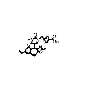 CCc1ccc2c(c1)C=Cc1oc(C)nc1C2c1cn(Cc2nc(C(=O)O)co2)c(=O)[nH]c1=O